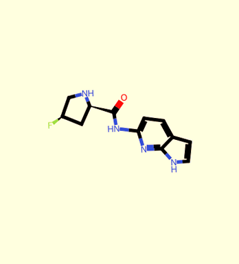 O=C(Nc1ccc2cc[nH]c2n1)[C@H]1C[C@@H](F)CN1